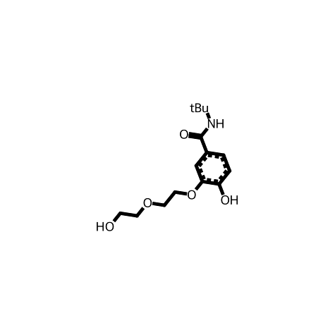 CC(C)(C)NC(=O)c1ccc(O)c(OCCOCCO)c1